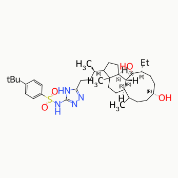 CC[C@@H]1CC[C@H](O)CCC(C)[C@H]2CCC3(C)C([C@H](C)CCc4nnc(NS(=O)(=O)c5ccc(C(C)(C)C)cc5)[nH]4)CC[C@H]3[C@@H]2[C@@H]1O